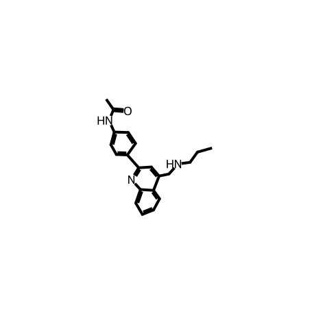 CCCNCc1cc(-c2ccc(NC(C)=O)cc2)nc2ccccc12